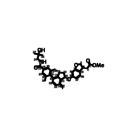 COC(=O)C[C@@H]1COc2cc(O[C@H]3CCc4c(-c5c(C)cc(C(=O)NCC(C)(C)O)cc5C)ccc(F)c43)ccc21